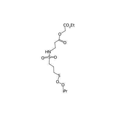 CCOC(=O)COC(=O)CCNS(=O)(=O)CCCSOOC(C)C